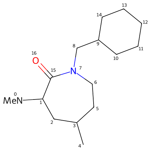 CNC1CC(C)CCN(CC2CCCCC2)C1=O